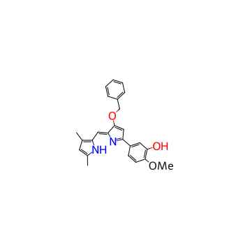 COc1ccc(C2=N/C(=C\c3[nH]c(C)cc3C)C(OCc3ccccc3)=C2)cc1O